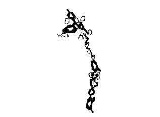 Cc1ccc2c(c1)Oc1cc(O)ccc1C21OC(=O)c2cc(C(=O)NCCOCCOCCOc3ccc(S(=O)(=O)N4CCN(c5ccc(-c6cccc(C)c6C)cc5)CC4)c(C)c3)ccc21